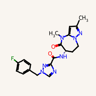 Cc1cc2n(n1)CC[C@H](NC(=O)c1ncn(Cc3ccc(F)cc3)n1)C(=O)N2C